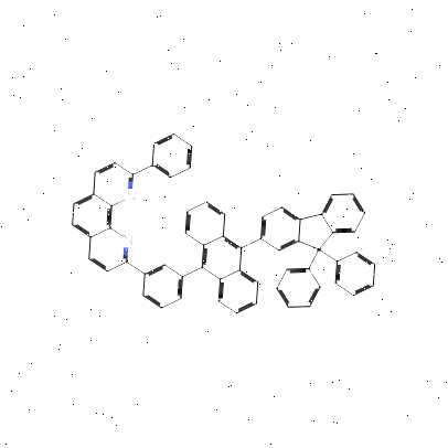 c1ccc(-c2ccc3ccc4ccc(-c5cccc(-c6c7ccccc7c(-c7ccc8c(c7)C(c7ccccc7)(c7ccccc7)c7ccccc7-8)c7ccccc67)c5)nc4c3n2)cc1